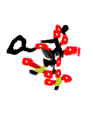 CC(=O)O[C@]1(C(C)=O)[C@H](OCc2ccccc2)[C@](COS(C)(=O)=O)(CS(C)(=O)=O)O[C@@H]1O